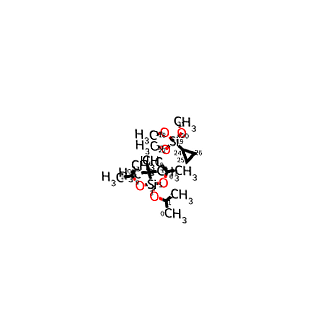 CC(C)O[Si](OC(C)C)(OC(C)C)C(C)(C)C.CO[Si](OC)(OC)C1CC1